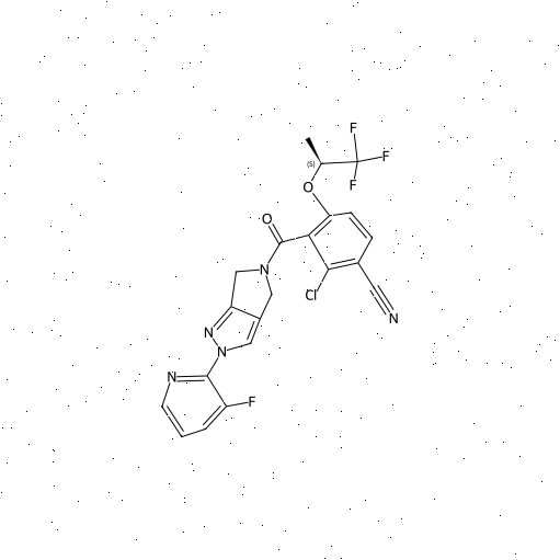 C[C@H](Oc1ccc(C#N)c(Cl)c1C(=O)N1Cc2cn(-c3ncccc3F)nc2C1)C(F)(F)F